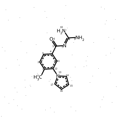 Cc1ccc(C(=O)N=C(N)N)cc1-n1cccc1